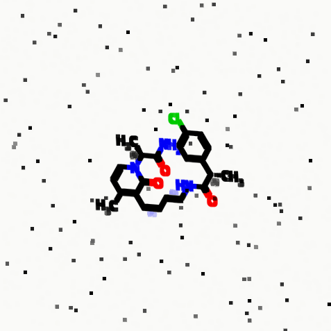 Cc1ccn([C@@H](C)C(N)=O)c(=O)c1/C=C\C=C\NC(=O)[C@@H](C)c1ccc(Cl)cc1